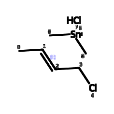 C/C=C/CCl.Cl.[CH3][Sn][CH3]